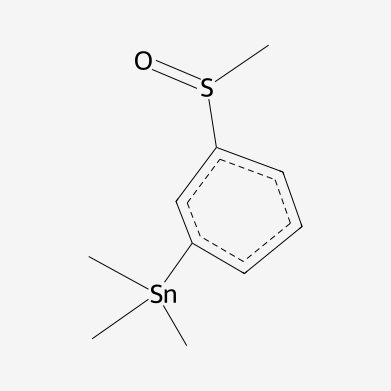 CS(=O)c1ccc[c]([Sn]([CH3])([CH3])[CH3])c1